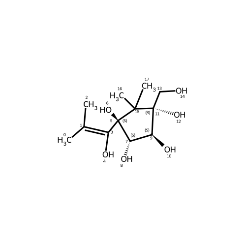 CC(C)=C(O)[C@@]1(O)[C@@H](O)[C@H](O)[C@](O)(CO)C1(C)C